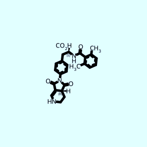 Cc1cccc(C)c1C(=O)N[C@@H](Cc1ccc(N2C(=O)C3=CNCC[C@H]3C2=O)cc1)C(=O)O